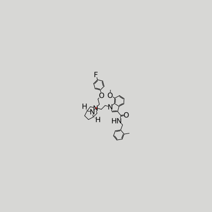 COc1cccc2c(C(=O)NCc3ccccc3C)cn(CCCN3[C@@H]4CC[C@H]3CN(CCOc3ccc(F)cc3)C4)c12